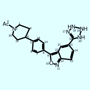 CC(=O)N1CCC(c2ccc(-c3onc4ccc(C5=NNNN5)cc34)cc2)CC1